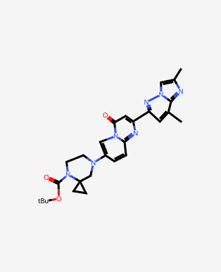 Cc1cn2nc(-c3cc(=O)n4cc(N5CCN(C(=O)OC(C)(C)C)C6(CC6)C5)ccc4n3)cc(C)c2n1